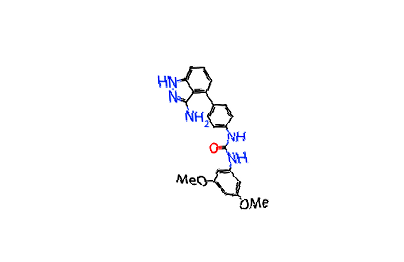 COc1cc(NC(=O)Nc2ccc(-c3cccc4[nH]nc(N)c34)cc2)cc(OC)c1